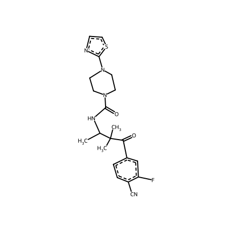 CC(NC(=O)N1CCN(c2nccs2)CC1)C(C)(C)C(=O)c1ccc(C#N)c(F)c1